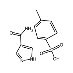 Cc1ccc(S(=O)(=O)O)cc1.NC(=O)c1cn[nH]c1